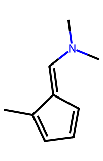 CC1=CC=CC1=CN(C)C